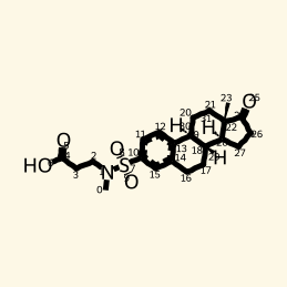 CN(CCC(=O)O)S(=O)(=O)c1ccc2c(c1)CC[C@@H]1[C@@H]2CC[C@]2(C)C(=O)CC[C@@H]12